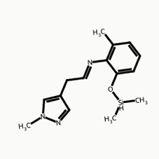 Cc1cccc(O[SiH](C)C)c1N=CCc1cnn(C)c1